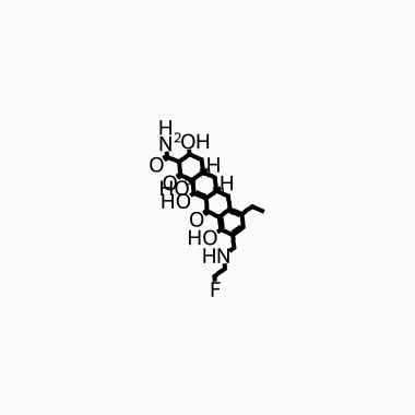 CCc1cc(CNCCF)c(O)c2c1C[C@H]1C[C@H]3CC(O)C(C(N)=O)C(=O)[C@@]3(O)C(O)=C1C2=O